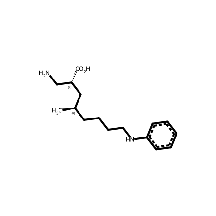 C[C@H](CCCCNc1ccccc1)C[C@H](CN)C(=O)O